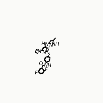 CC1CC(Nc2cc(N3CCC3)nc(Sc3ccc(NC(=O)c4cc(F)ccc4F)cc3)n2)=NN1